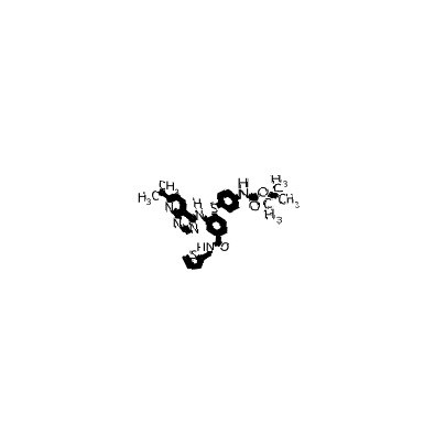 CC(C)c1ccc2c(Nc3cc(C(=O)NCc4cccs4)ccc3Sc3ccc(NC(=O)OC(C)(C)C)cc3)ncnc2n1